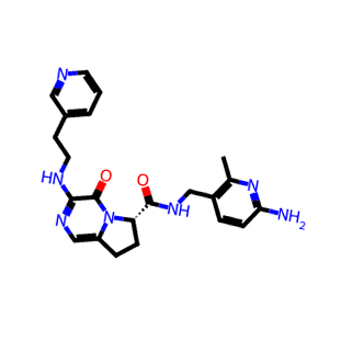 Cc1nc(N)ccc1CNC(=O)[C@@H]1CCc2cnc(NCCc3cccnc3)c(=O)n21